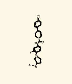 CC(=O)N(C)C1CCN(c2ccc(NC(=O)N3CCC(c4ccc(Cl)cc4)CC3)cc2F)C1